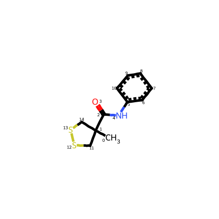 CC1(C(=O)Nc2ccccc2)CSSC1